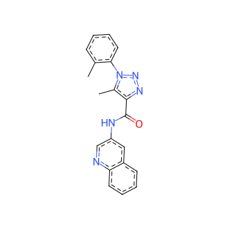 Cc1ccccc1-n1nnc(C(=O)Nc2cnc3ccccc3c2)c1C